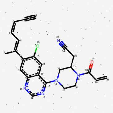 C#C/C=C\C=C(/C)c1cc2ncnc(N3CCN(C(=O)C=C)C(CC#N)C3)c2cc1Cl